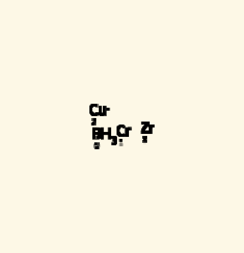 B.[Cr].[Cu].[Zr]